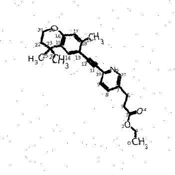 CCOC(=O)CCc1ccc(C#Cc2cc3c(cc2C)OCCC3(C)C)nc1